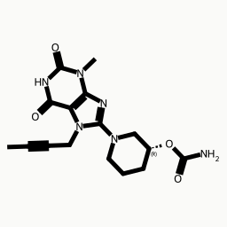 CC#CCn1c(N2CCC[C@@H](OC(N)=O)C2)nc2c1c(=O)[nH]c(=O)n2C